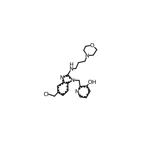 Oc1cccnc1Cn1c(NCCCN2CCOCC2)nc2cc(CCl)ccc21